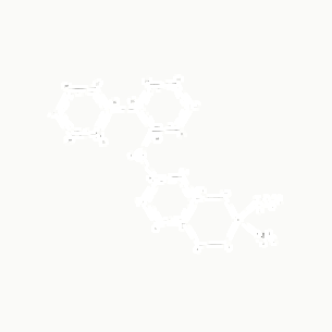 NC1(C(=O)O)CCc2ccc(Oc3ccccc3-c3ccccn3)cc2C1